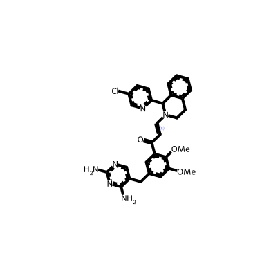 COc1cc(Cc2cnc(N)nc2N)cc(C(=O)/C=C/N2CCc3ccccc3C2c2ccc(Cl)cn2)c1OC